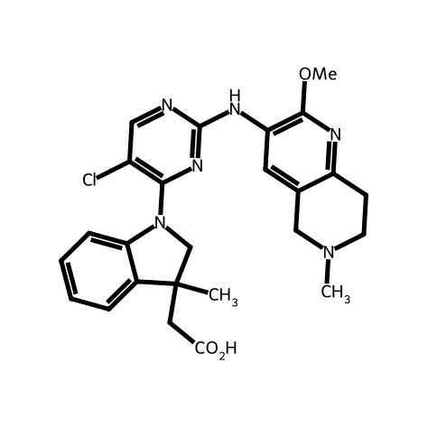 COc1nc2c(cc1Nc1ncc(Cl)c(N3CC(C)(CC(=O)O)c4ccccc43)n1)CN(C)CC2